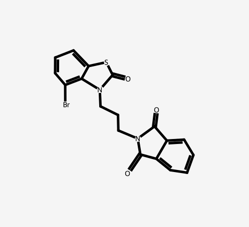 O=C1c2ccccc2C(=O)N1CCCn1c(=O)sc2cccc(Br)c21